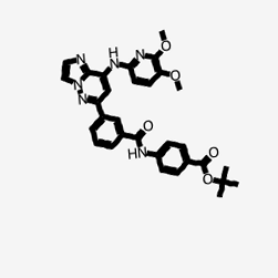 COc1ccc(Nc2cc(-c3cccc(C(=O)Nc4ccc(C(=O)OC(C)(C)C)cc4)c3)nn3ccnc23)nc1OC